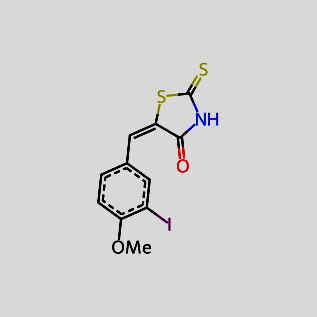 COc1ccc(/C=C2/SC(=S)NC2=O)cc1I